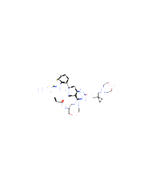 C=CC(=O)NC1COCCN(c2nc(OCC3(CN4CCOCC4)CC3)nc3c(F)c(-c4ccc(F)c5sc(N)nc45)ncc23)C1